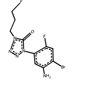 Nc1cc(-n2nnn(CCCF)c2=O)c(F)cc1Br